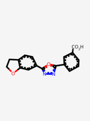 O=C(O)c1cccc(-c2nnc(-c3ccc4c(c3)OCC4)o2)c1